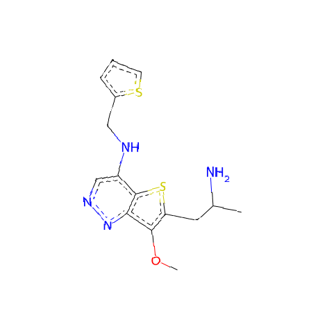 COc1c(CC(C)N)sc2c(NCc3cccs3)cnnc12